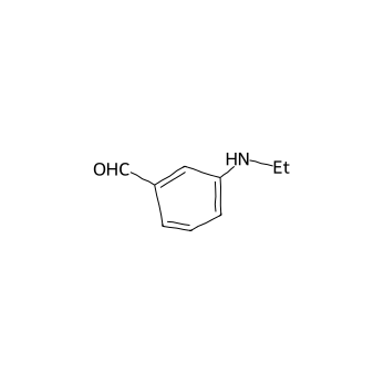 CCNc1cccc(C=O)c1